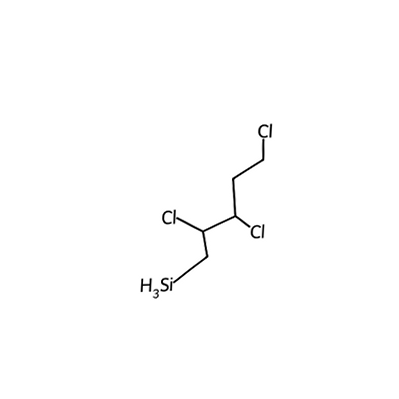 [SiH3]CC(Cl)C(Cl)CCCl